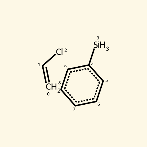 C=CCl.[SiH3]c1ccccc1